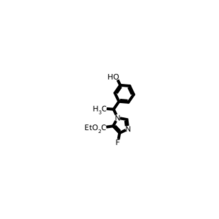 CCOC(=O)c1c(F)ncn1C(C)c1cccc(O)c1